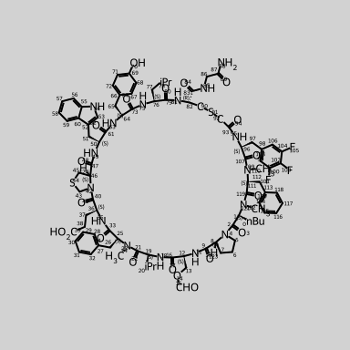 CCCC[C@H]1C(=O)N2CCC[C@@H]2C(=O)N[C@@H](COC=O)C(=O)N[C@@H](C(C)C)C(=O)N(C)[C@@H](Cc2ccccc2)C(=O)N[C@@H](CCC(=O)O)C(=O)N2CSC[C@@H]2C(=O)N[C@@H](Cc2c[nH]c3ccccc23)C(=O)N[C@@H](Cc2ccc(O)cc2)C(=O)N[C@@H](CC(C)C)C(=O)N[C@H](C(=O)NCC(N)=O)CSCC(=O)N[C@@H](Cc2cc(F)c(F)c(F)c2)C(=O)N(C)[C@@H](Cc2ccccc2)C(=O)N1C